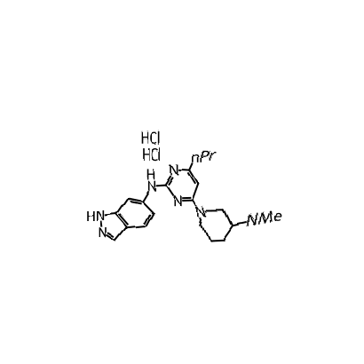 CCCc1cc(N2CCCC(NC)C2)nc(Nc2ccc3cn[nH]c3c2)n1.Cl.Cl